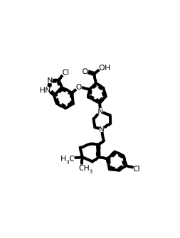 CC1(C)CCC(CN2CCN(c3ccc(C(=O)O)c(Oc4cccc5[nH]nc(Cl)c45)c3)CC2)=C(c2ccc(Cl)cc2)C1